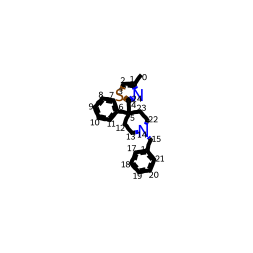 Cc1csc(C2(c3ccccc3)CCN(Cc3ccccc3)CC2)n1